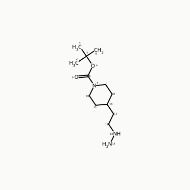 CC(C)(C)OC(=O)N1CCC(CCNN)CC1